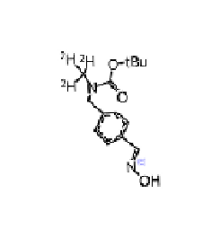 [2H]C([2H])([2H])N(Cc1ccc(/C=N/O)cc1)C(=O)OC(C)(C)C